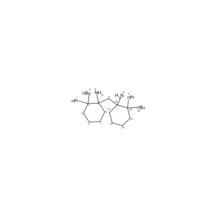 CCCCC1(CCC)CCCCC1(N)CC1(N)CCCCC1(CCC)CCCC